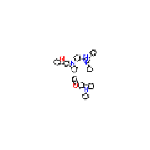 c1ccc(-c2cc(-c3ccccc3)nc(-c3cccc(-n4c5ccc(-c6ccc7oc8cc9c(cc8c7c6)c6ccccc6n9-c6ccccc6)cc5c5cc6c(cc54)oc4ccccc46)c3)n2)cc1